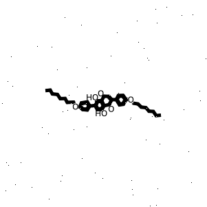 CCCCCCCCOc1ccc(C2=CC(=O)c3c(O)c(-c4ccc(OCCCCCCCC)cc4)cc(O)c3C2=O)cc1